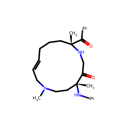 CC(C)N[C@]1(C)CCN(C)C/C=C/CCC[C@](C)(C(=O)C(C)C)NCC1=O